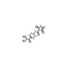 CC(=O)C(C#N)C(=O)N1CCC(CC(=O)C2C(=O)CN(C)C2=O)CC1